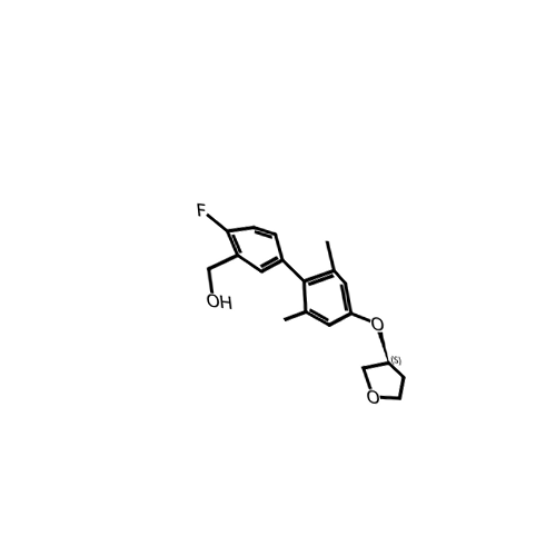 Cc1cc(O[C@H]2CCOC2)cc(C)c1-c1ccc(F)c(CO)c1